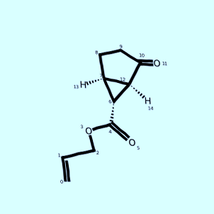 C=CCOC(=O)[C@@H]1[C@H]2CCC(=O)[C@H]21